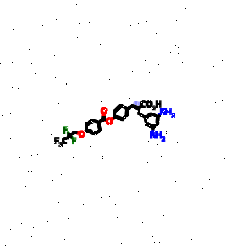 Nc1cc(N)cc(C/C(=C\c2ccc(OC(=O)c3ccc(OCC(F)(F)C(F)(F)F)cc3)cc2)C(=O)O)c1